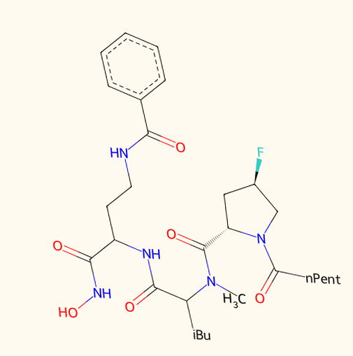 CCCCCC(=O)N1C[C@H](F)C[C@H]1C(=O)N(C)C(C(=O)NC(CCNC(=O)c1ccccc1)C(=O)NO)C(C)CC